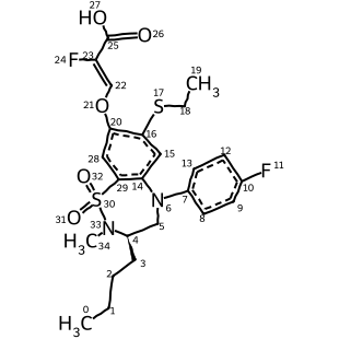 CCCC[C@@H]1CN(c2ccc(F)cc2)c2cc(SCC)c(O/C=C(\F)C(=O)O)cc2S(=O)(=O)N1C